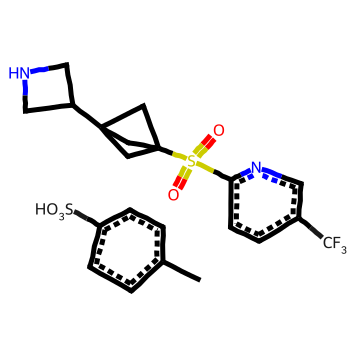 Cc1ccc(S(=O)(=O)O)cc1.O=S(=O)(c1ccc(C(F)(F)F)cn1)C12CC(C3CNC3)(C1)C2